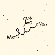 CCCCCCCCCCCCN(CC(=O)OC)CC(=O)OC